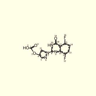 O=C(O)Oc1cnn(-c2nc3c(F)ccc(F)c3c(=O)[nH]2)c1